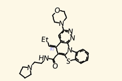 CC/C=C1/C(C(=O)NCCN2CCCC2)=C2Sc3ccccc3N2c2nnc(N3CCOCC3)cc21